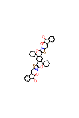 O=C1C(=O)c2ccccc2/C1=C/c1nc2c(s1)-c1cc3c(cc1C1(CCCCC1)O2)-c1sc(/C=C2\C(=O)C(=O)c4ccccc42)nc1OC31CCCCC1